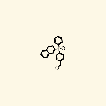 O=Cc1ccc(P(=O)(c2ccccc2)c2ccc3ccccc3c2)cc1